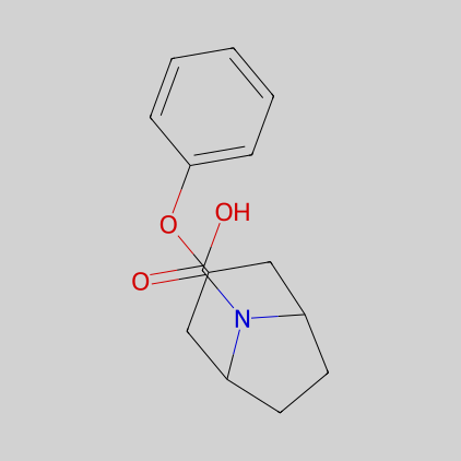 O=C(O)N1C2CCC1CC(Oc1ccccc1)C2